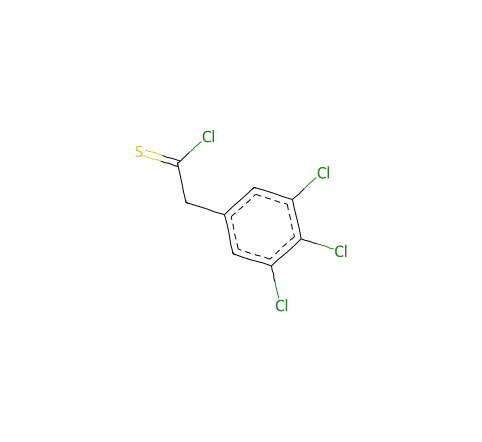 S=C(Cl)Cc1cc(Cl)c(Cl)c(Cl)c1